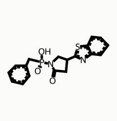 O=C1CC(c2nc3ccccc3s2)CN1P(=O)(O)Cc1ccccc1